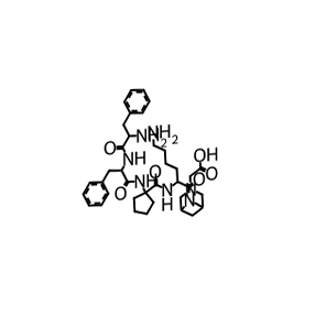 NCCCCC(NC(=O)C1(NC(=O)C(Cc2ccccc2)NC(=O)C(N)Cc2ccccc2)CCCC1)C(=O)N1C2CC1CN(CC(=O)O)C2